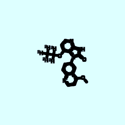 [2H]C([2H])([2H])C([2H])([2H])Oc1ccnc2[nH]c(=O)n(-c3ccc4nccc(OC)c4c3)c12